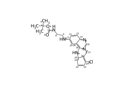 CC(C)(C)OC(=O)NCCNc1ccc2ncnc(Nc3cccc(Cl)c3F)c2c1